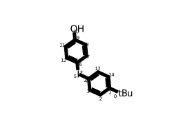 CC(C)(C)c1ccc([I+]c2ccc(O)cc2)cc1